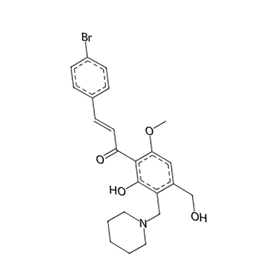 COc1cc(CO)c(CN2CCCCC2)c(O)c1C(=O)/C=C/c1ccc(Br)cc1